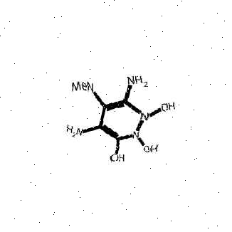 CNC1=C(N)N(O)N(O)C(O)=C1N